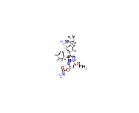 COc1cc(OC(N)=O)nn2c(-c3ccccc3)c(-c3ccc(C4(N)CCC4)cc3)nc12